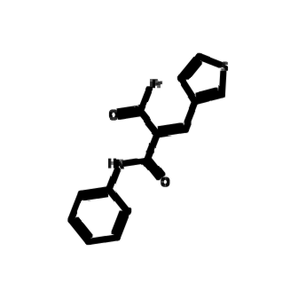 CC(C)C(=O)C(=Cc1ccsc1)C(=O)Nc1ccccc1